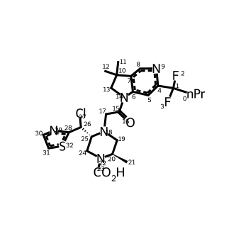 CCCC(F)(F)c1cc2c(cn1)C(C)(C)CN2C(=O)CN1C[C@@H](C)N(C(=O)O)C[C@@H]1C(Cl)c1nccs1